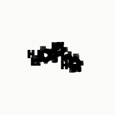 CCC(N)Cc1sc2c(NCc3ccncc3)cnnc2c1C